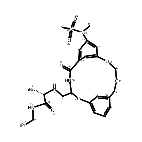 CCCC[C@H](NCC1Cc2cccc(c2)CCCOc2cc(cc(N(C)S(C)(=O)=O)c2)C(=O)N1)C(=O)NCC(C)C